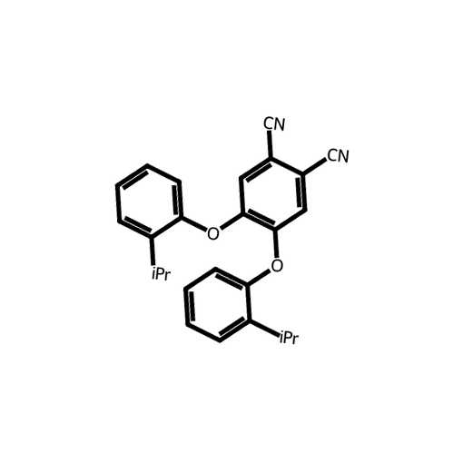 CC(C)c1ccccc1Oc1cc(C#N)c(C#N)cc1Oc1ccccc1C(C)C